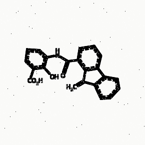 C=C1c2ccccc2-c2cccc(C(=O)Nc3cccc(C(=O)O)c3O)c21